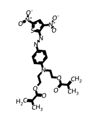 C=C(C)C(=O)OCCN(CCOC(=O)C(=C)C)c1ccc(/N=N/c2sc([N+](=O)[O-])cc2[N+](=O)[O-])cc1